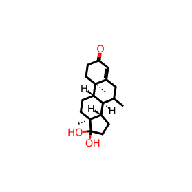 CC1CC2=CC(=O)CC[C@]2(C)[C@H]2CC[C@@]3(C)[C@@H](CCC3(O)O)[C@H]12